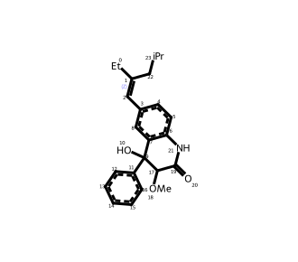 CC/C(=C/c1ccc2c(c1)C(O)(c1ccccc1)C(OC)C(=O)N2)CC(C)C